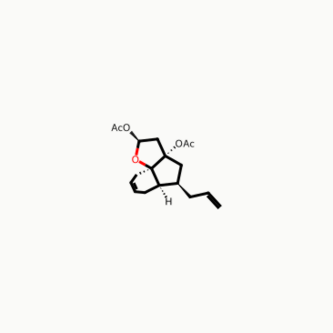 C=CC[C@@H]1C[C@]2(OC(C)=O)C[C@H](OC(C)=O)O[C@@]23CC=CC[C@H]13